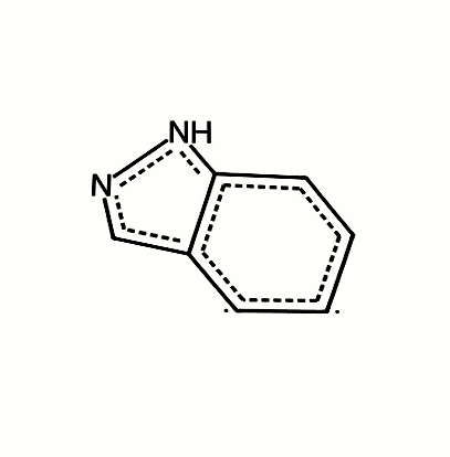 [c]1[c]c2cn[nH]c2cc1